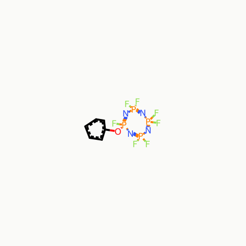 FP1(F)=NP(F)(F)=NP(F)(Oc2ccccc2)=NP(F)(F)=N1